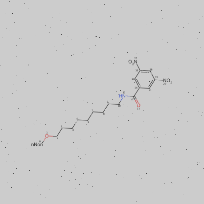 CCCCCCCCCOCCCCCCCCCNC(=O)c1cc([N+](=O)[O-])cc([N+](=O)[O-])c1